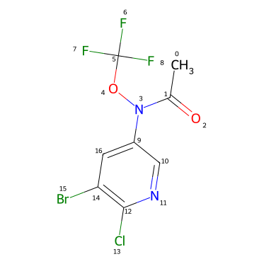 CC(=O)N(OC(F)(F)F)c1cnc(Cl)c(Br)c1